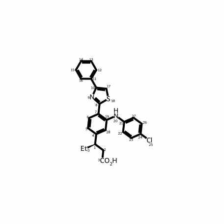 CC[C@H](CC(=O)O)c1ccc(-c2nc(-c3ccccc3)cs2)c(Nc2ccc(Cl)cc2)c1